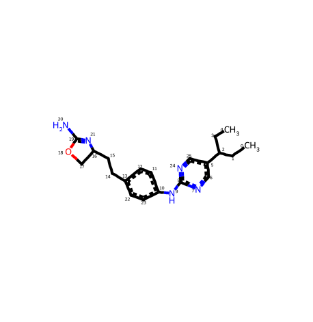 CCC(CC)c1cnc(Nc2ccc(CCC3COC(N)=N3)cc2)nc1